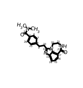 CN(C)C(=O)c1ccc(CCc2nc3cccc4c3n2CCNC4=O)cc1